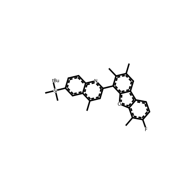 Cc1cc2c(oc3c(C)c(F)ccc32)c(-c2cc(C)c3cc([Si](C)(C)C(C)(C)C)ccc3n2)c1C